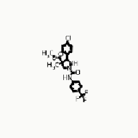 COC(=O)C1(C)CN(C(=O)Nc2ccc(C(F)(F)F)cc2)NC1c1ccc(Cl)cc1